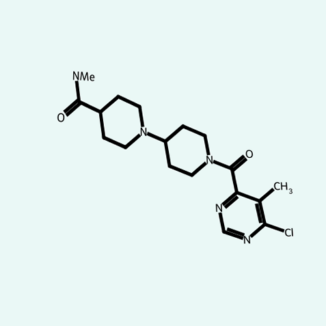 CNC(=O)C1CCN(C2CCN(C(=O)c3ncnc(Cl)c3C)CC2)CC1